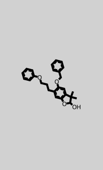 CC1(C)c2cc(OCc3ccccc3)c(CCCOc3ccccc3)cc2OC1O